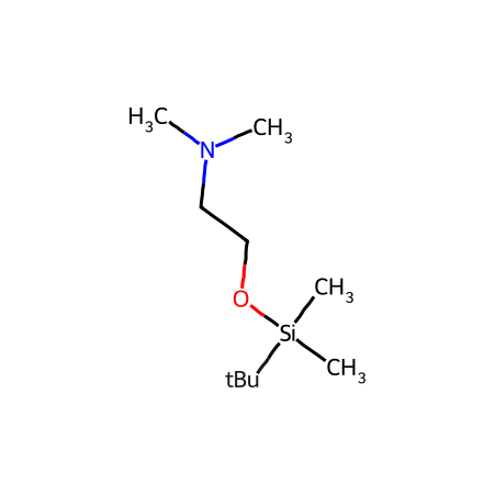 CN(C)CCO[Si](C)(C)C(C)(C)C